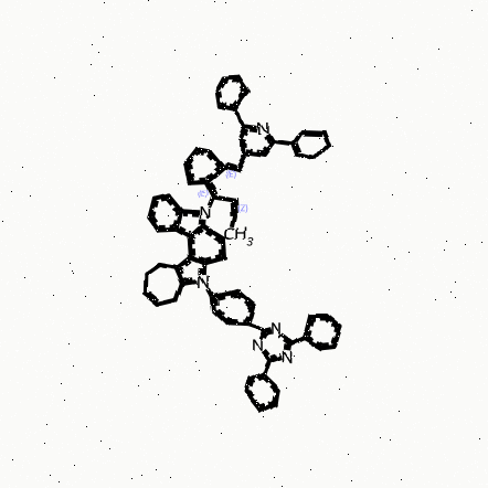 C\C=C/C(=c1/cccc/c1=C\c1cc(C2=CCCC=C2)nc(-c2ccccc2)c1)n1c2ccccc2c2c3c4c(n(-c5ccc(-c6nc(-c7ccccc7)nc(-c7ccccc7)n6)cc5)c3ccc21)CC=CCC4